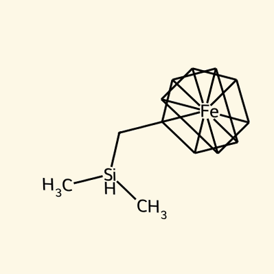 C[SiH](C)C[C]12[CH]3[CH]4[CH]5[CH]1[Fe]45321678[CH]2[CH]1[CH]6[CH]7[CH]28